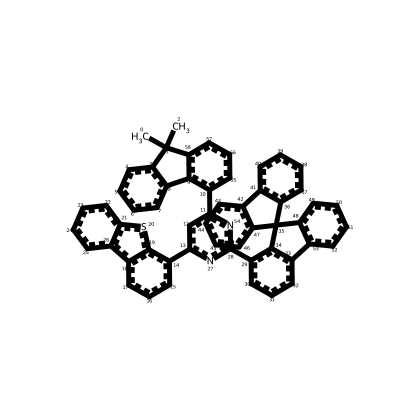 CC1(C)c2ccccc2-c2c(-c3cc(-c4cccc5c4sc4ccccc45)nc(-c4cccc5c4C4(c6ccccc6-c6ccccc64)c4ccccc4-5)n3)cccc21